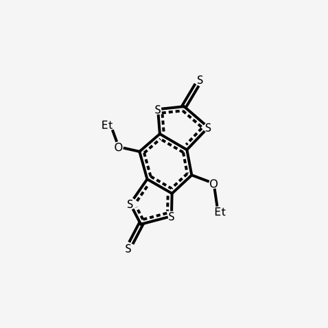 CCOc1c2sc(=S)sc2c(OCC)c2sc(=S)sc12